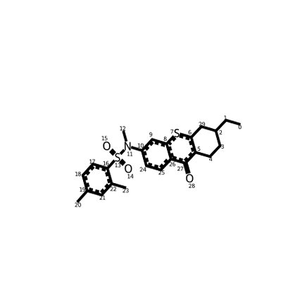 CCC1CCc2c(sc3cc(N(C)S(=O)(=O)c4ccc(C)cc4C)ccc3c2=O)C1